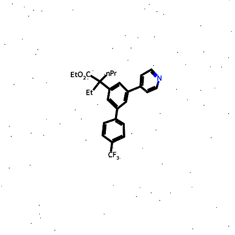 CCCC(CC)(C(=O)OCC)c1cc(-c2ccncc2)cc(-c2ccc(C(F)(F)F)cc2)c1